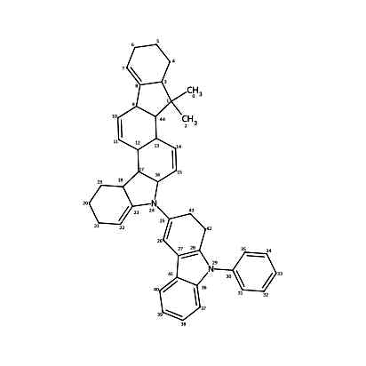 CC1(C)C2CCCC=C2C2C=CC3C(C=CC4C3C3CCCC=C3N4C3=Cc4c(n(-c5ccccc5)c5ccccc45)CC3)C21